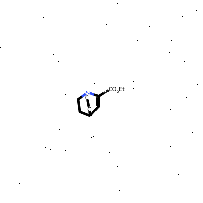 CCOC(=O)C1=CC2CCN1CC2